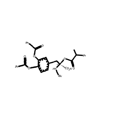 CCC(C)N[C@@](Cc1ccc(OC(=O)C(C)C)c(OC(=O)C(C)C)c1)(OC(=O)C(C)C(C)C)C(=O)O